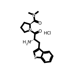 CN(C)C(=O)[C@@H]1CCCN1C(=O)[C@@H](N)Cc1csc2ccccc12.Cl